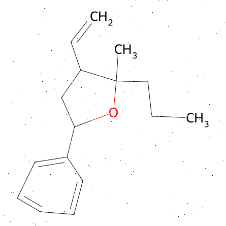 C=CC1CC(c2ccccc2)OC1(C)CCC